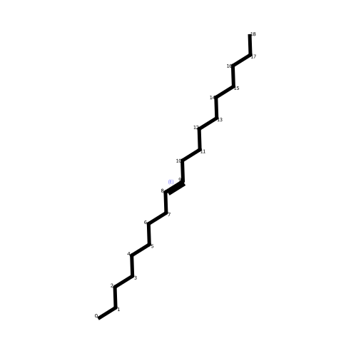 CCCCCCCC/C=C/CCCCCCCCC